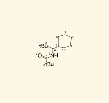 CC(C)(C)C(=O)NC(C1CCCCC1)C(C)(C)C